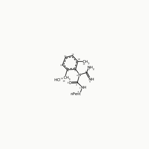 CCCCCNC(=O)N(C(=N)N)c1c(C)cccc1C.Cl